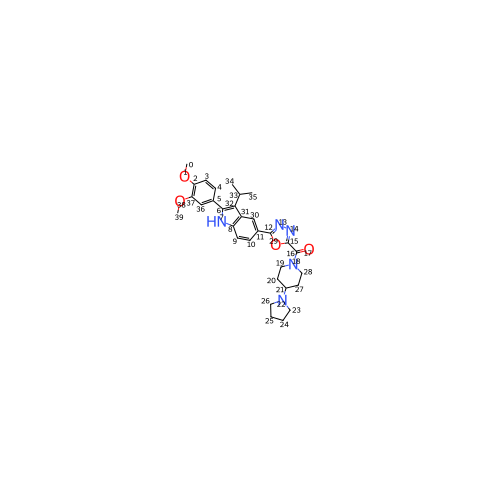 COc1ccc(-c2[nH]c3ccc(-c4nnc(C(=O)N5CCC(N6CCCC6)CC5)o4)cc3c2C(C)C)cc1OC